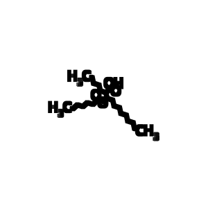 CCCCCCCCCC(OC(=O)CCCCCC)C(CCCCC)C(=O)O